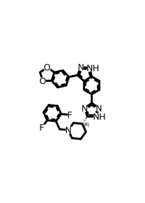 Fc1cccc(F)c1CN1CCC[C@@H](c2nc(-c3ccc4[nH]nc(-c5ccc6c(c5)OCO6)c4c3)n[nH]2)C1